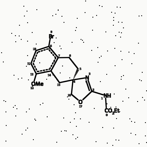 CCOC(=O)NC1=N[C@@]2(CCc3c(Br)ccc(OC)c3C2)CO1